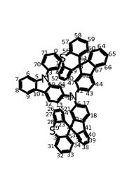 c1ccc(-n2c3ccccc3c3ccc(N(c4ccc5c(c4)C4(c6ccccc6Sc6ccccc64)c4ccccc4-5)c4ccc5c(c4)C4(c6ccccc6Sc6ccccc64)c4ccccc4-5)cc32)cc1